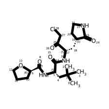 CC(C)(C)C[C@H](NC(=O)[C@H]1CCCO1)C(=O)N[C@@H](C[C@@H]1CCNC1=O)C(=O)CCl